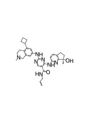 C=CCNC(=O)c1cnc(Nc2cc3c(c(C4CCC4)c2)CCN(C)C3)nc1Nc1ccc2c(n1)[C@@](C)(O)CC2